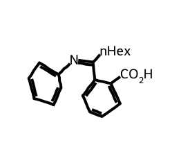 CCCCCCC(=Nc1ccccc1)c1ccccc1C(=O)O